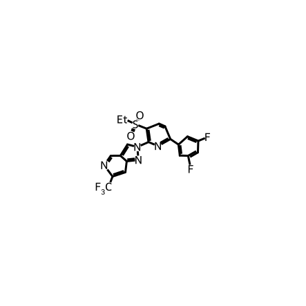 CCS(=O)(=O)c1ccc(-c2cc(F)cc(F)c2)nc1-n1cc2cnc(C(F)(F)F)cc2n1